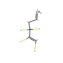 C=CCC(F)([S])C(F)=CF